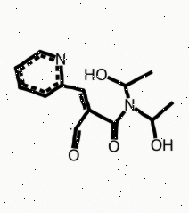 CC(O)N(C(=O)/C([C]=O)=C/c1ccccn1)C(C)O